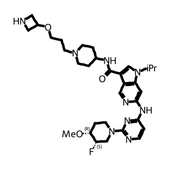 CO[C@@H]1CCN(c2nccc(Nc3cc4c(cn3)c(C(=O)NC3CCN(CCCOC5CNC5)CC3)cn4C(C)C)n2)C[C@@H]1F